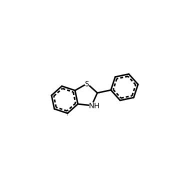 [c]1cccc2c1N[C](c1ccccc1)S2